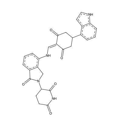 O=C1CCC(N2Cc3c(NC=C4C(=O)CC(c5cccc6[nH]ccc56)CC4=O)cccc3C2=O)C(=O)N1